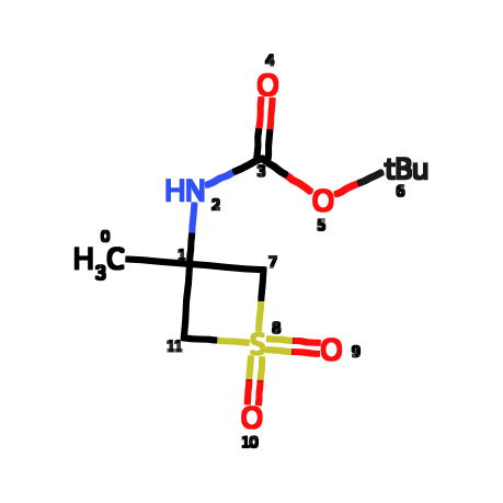 CC1(NC(=O)OC(C)(C)C)CS(=O)(=O)C1